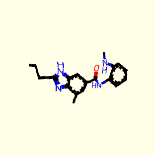 CCCc1nc2c(C)cc(C(=O)Nc3ccccc3NC)cc2[nH]1